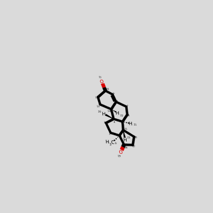 C[C@]12CC[C@H]3[C@@H](CCC4=CC(=O)CC[C@@H]43)[C@@H]1CCC2=O